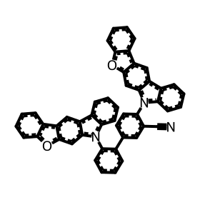 N#Cc1cc(-c2ccccc2-n2c3ccccc3c3cc4c(cc32)oc2ccccc24)ccc1-n1c2ccccc2c2cc3c(cc21)oc1ccccc13